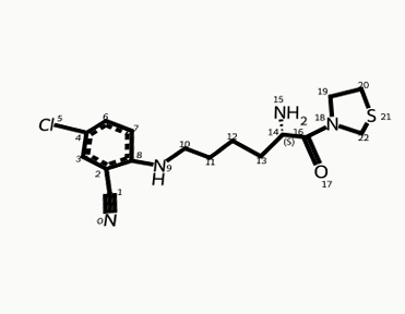 N#Cc1cc(Cl)ccc1NCCCC[C@H](N)C(=O)N1CCSC1